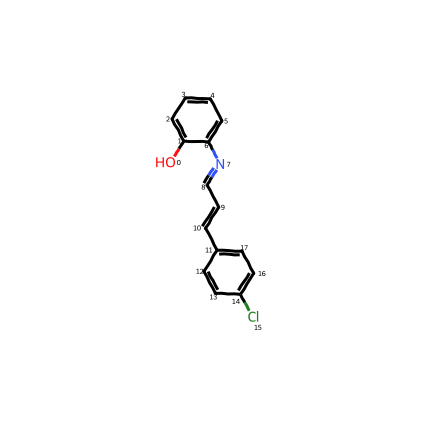 Oc1ccccc1N=CC=Cc1ccc(Cl)cc1